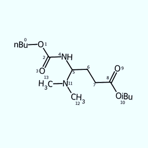 CCCCOC(=O)NC(CCC(=O)OCC(C)C)N(C)C